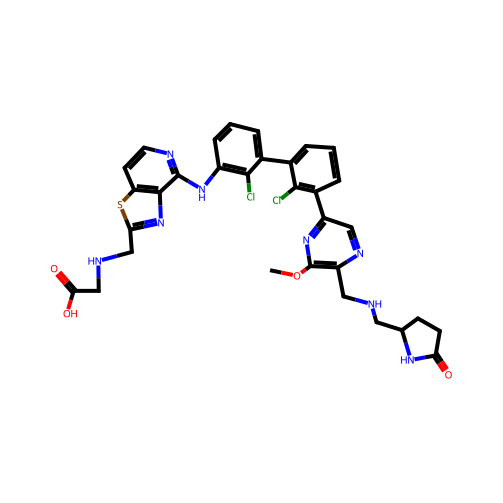 COc1nc(-c2cccc(-c3cccc(Nc4nccc5sc(CNCC(=O)O)nc45)c3Cl)c2Cl)cnc1CNCC1CCC(=O)N1